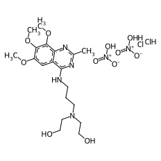 COc1cc2c(NCCCN(CCO)CCO)nc(C)nc2c(OC)c1OC.Cl.Cl.O=[N+]([O-])O.O=[N+]([O-])O